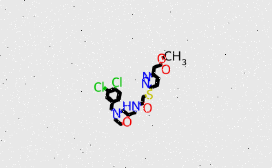 COC(=O)Cc1ccc(SCC(=O)NCC2CN(Cc3ccc(Cl)c(Cl)c3)CCO2)nn1